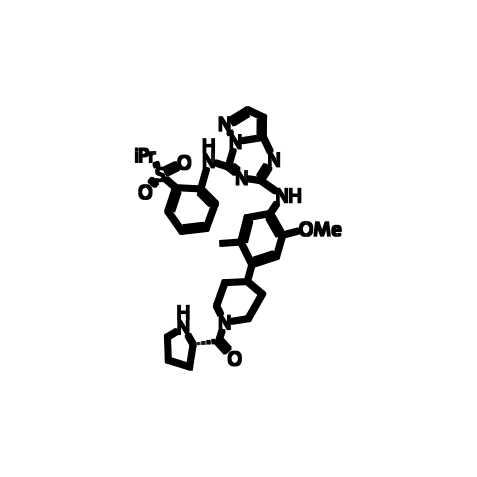 COc1cc(C2CCN(C(=O)[C@@H]3CCCN3)CC2)c(C)cc1Nc1nc(Nc2ccccc2S(=O)(=O)C(C)C)n2nccc2n1